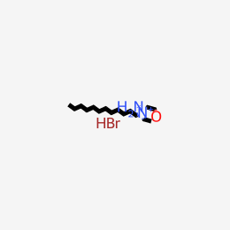 Br.CCCCCCCCCCCC[N+]1(N)CCOCC1